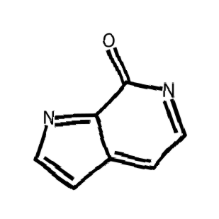 O=C1N=CC=C2C=CN=C12